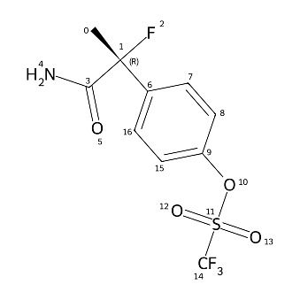 C[C@](F)(C(N)=O)c1ccc(OS(=O)(=O)C(F)(F)F)cc1